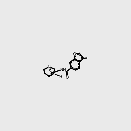 Cc1coc2cc(C(=O)N[C@@H]3CC4CCN(CC4)C3)ccc12